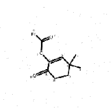 CCC(=O)OC1=CC(C)(C)CCC1=O